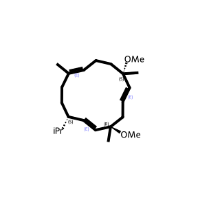 CO[C@@]1(C)/C=C/[C@H](C(C)C)CC/C(C)=C/CC[C@](C)(OC)/C=C/C1